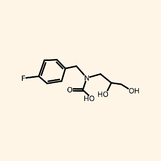 O=C(O)N(Cc1ccc(F)cc1)CC(O)CO